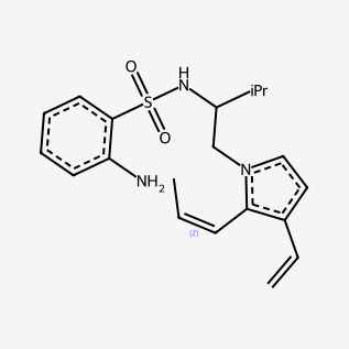 C=Cc1ccn(CC(NS(=O)(=O)c2ccccc2N)C(C)C)c1/C=C\C